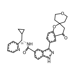 O=C(N[C@H](c1ccccn1)C1CC1)c1ccc2[nH]nc(-c3ccc4c(c3)C(=O)CC3(CCOCC3)O4)c2c1